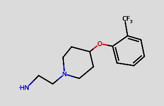 [NH]CCN1CCC(Oc2ccccc2C(F)(F)F)CC1